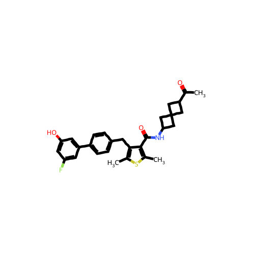 CC(=O)C1CC2(CC(NC(=O)c3c(C)sc(C)c3Cc3ccc(-c4cc(O)cc(F)c4)cc3)C2)C1